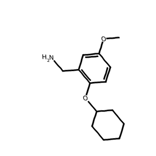 COc1ccc(OC2CCCCC2)c(CN)c1